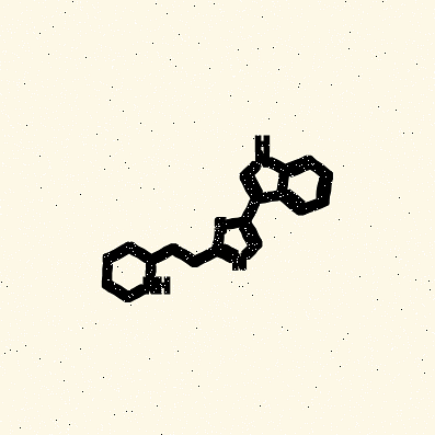 c1ccc2c(-c3cnc(CCC4CCCCN4)s3)c[nH]c2c1